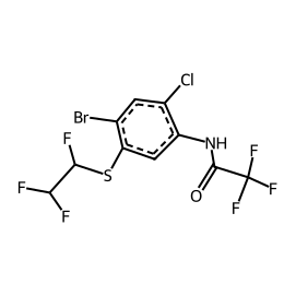 O=C(Nc1cc(SC(F)C(F)F)c(Br)cc1Cl)C(F)(F)F